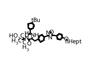 CCCCCCCOc1ccc(-c2nc(-c3ccc(CC(NC(=O)c4ccc(C(C)(C)C)cc4)C(=O)NC(C)(C)C(=O)O)cc3)no2)cc1